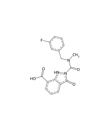 CN(Cc1cccc(F)c1)C(=O)n1[nH]c2c(C(=O)O)cccc2c1=O